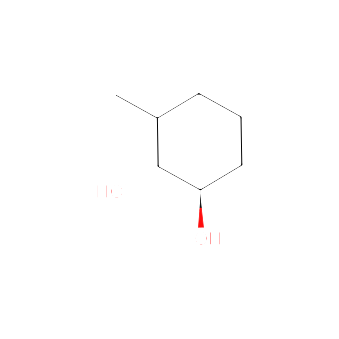 CC1CCC[C@@H](O)[C@@H]1O